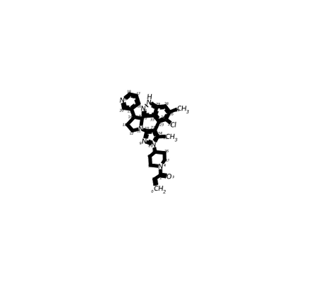 C=CC(=O)N1CCC(n2nc(N3CCC(c4cccnc4)C3)c(-c3c(Cl)c(C)cc4[nH]ncc34)c2C)CC1